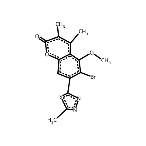 COc1c(Br)c(-c2nnc(C)s2)cc2oc(=O)c(C)c(C)c12